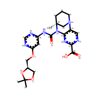 CC1(C)OC[C@H](COc2cc(NC(=O)N3c4nc(C(=O)O)ncc4N4CCC[C@H]3C4)ncn2)O1